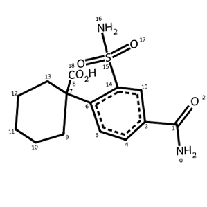 NC(=O)c1ccc(C2(C(=O)O)CCCCC2)c(S(N)(=O)=O)c1